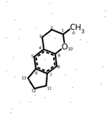 CC1CCc2cc3c(cc2O1)CCC3